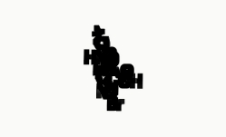 CC(C)(C)c1ccc(C(=O)N[C@@H](Cc2ccc(-c3ncc(Br)cn3)cc2)C(=O)NCCC(=O)O)cc1